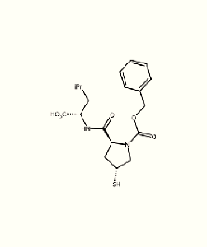 CC(C)C[C@H](NC(=O)[C@@H]1C[C@@H](S)CN1C(=O)OCc1ccccc1)C(=O)O